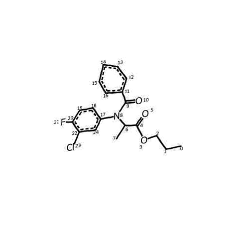 CCCOC(=O)C(C)N(C(=O)c1ccccc1)c1ccc(F)c(Cl)c1